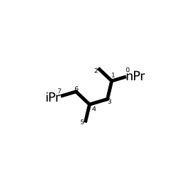 CCCC(C)CC(C)CC(C)C